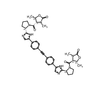 C[C@H]1OC(=O)N(C)[C@@H]1C(=O)N1CCC[C@H]1c1ncc(-c2ccc(C#Cc3ccc(-c4cnc([C@@H]5CCCN5C(=O)[C@@H]5[C@@H](C)OC(=O)N5C)[nH]4)cc3)cc2)[nH]1